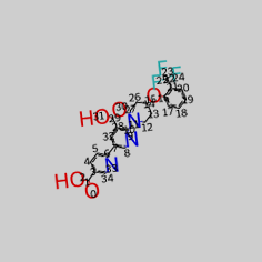 O=C(O)c1ccc(-c2cnc(N3CCC(Oc4ccccc4C(F)(F)F)CC3)c(C(=O)O)c2)nc1